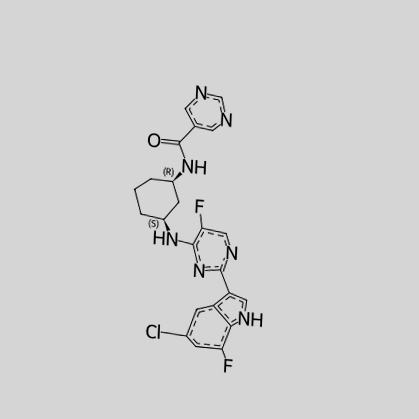 O=C(N[C@@H]1CCC[C@H](Nc2nc(-c3c[nH]c4c(F)cc(Cl)cc34)ncc2F)C1)c1cncnc1